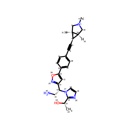 CC(=O)N1C[C@@H]2[C@H](C#Cc3ccc(-c4cc([C@@H](CN)n5ccnc5[C@H](C)O)no4)cc3)[C@@H]2C1